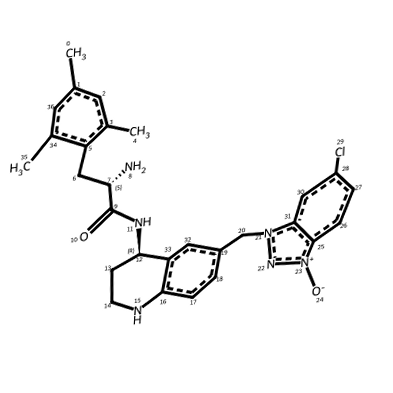 Cc1cc(C)c(C[C@H](N)C(=O)N[C@@H]2CCNc3ccc(Cn4n[n+]([O-])c5ccc(Cl)cc54)cc32)c(C)c1